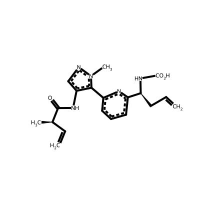 C=CC[C@H](NC(=O)O)c1cccc(-c2c(NC(=O)[C@H](C)C=C)cnn2C)n1